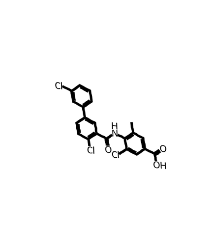 Cc1cc(C(=O)O)cc(Cl)c1NC(=O)c1cc(-c2cccc(Cl)c2)ccc1Cl